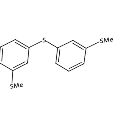 CSc1cccc(Sc2cccc(SC)c2)c1